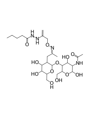 C=C(CO/N=C(/C)CC1C(OC2C(CO)OC(O)C(NC(C)=O)C2O)OC(CO)C(O)C1O)NNC(=O)CCCC